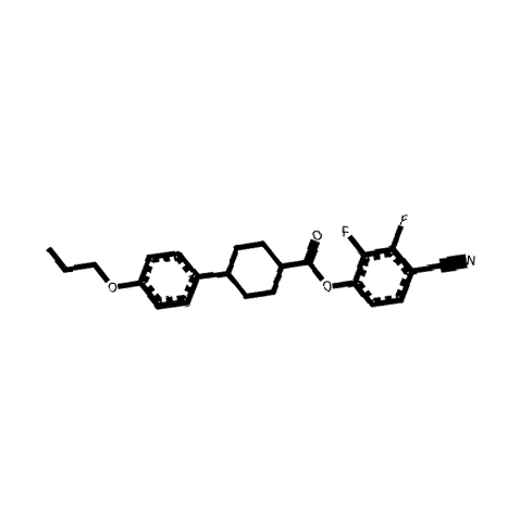 CCCOc1ccc(C2CCC(C(=O)Oc3ccc(C#N)c(F)c3F)CC2)cc1